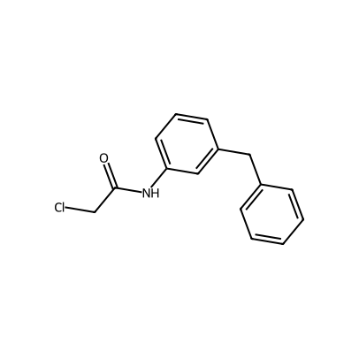 O=C(CCl)Nc1cccc(Cc2ccccc2)c1